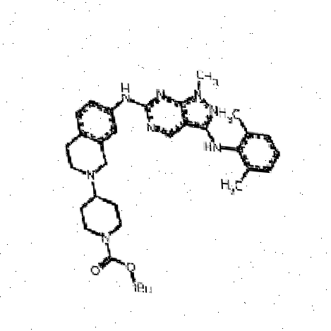 Cc1cccc(C)c1Nc1nn(C)c2nc(Nc3ccc4c(c3)CN(C3CCN(C(=O)OC(C)(C)C)CC3)CC4)ncc12